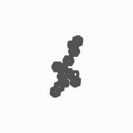 c1ccc(N(c2ccc(-c3ccc4c(c3)oc3ccccc34)cc2)c2ccc3c(c2)oc2ccccc23)c(-c2ccc3oc4cc5ccccc5cc4c3c2)c1